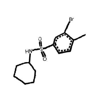 Cc1ccc(S(=O)(=O)NC2CCCCC2)cc1Br